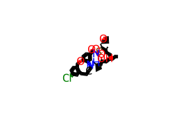 C=CC[C@H](C)[C@H](C[C@H]1CCO1)S(=O)(=O)NC(=O)c1ccc2c(c1)N(C[C@@H]1CC[C@H]1[C@@H](O)/C=C/CCC)CCCCc1cc(Cl)ccc1CO2